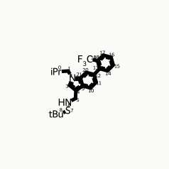 CC(C)Cn1cc(CNSC(C)(C)C)c2ccc(-c3ccccc3C(F)(F)F)cc21